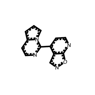 c1cc2ccnc(-c3ccnc4oncc34)n2c1